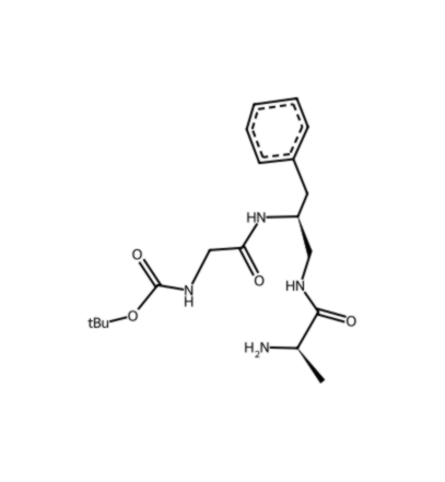 C[C@@H](N)C(=O)NC[C@H](Cc1ccccc1)NC(=O)CNC(=O)OC(C)(C)C